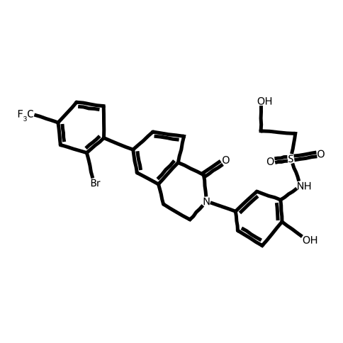 O=C1c2ccc(-c3ccc(C(F)(F)F)cc3Br)cc2CCN1c1ccc(O)c(NS(=O)(=O)CCO)c1